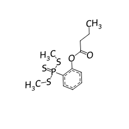 CCCC(=O)Oc1ccccc1P(=S)(SC)SC